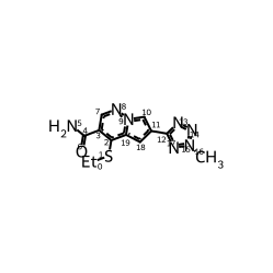 CCSc1c(C(N)=O)cnn2cc(-c3nnn(C)n3)cc12